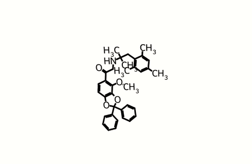 COc1c(C(=O)CNC(C)(C)Cc2c(C)cc(C)cc2C)ccc2c1OC(c1ccccc1)(c1ccccc1)O2